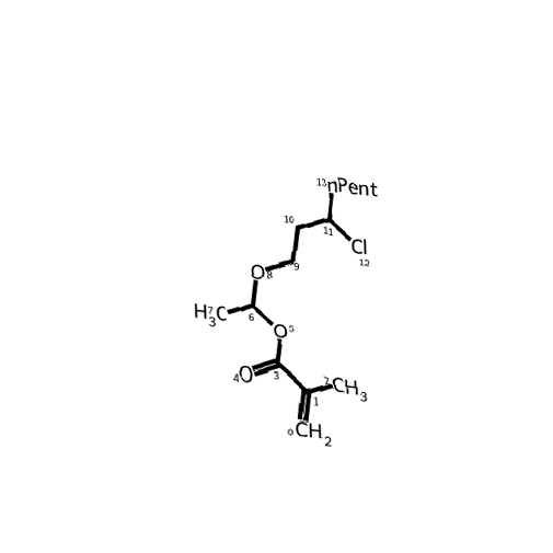 C=C(C)C(=O)OC(C)OCCC(Cl)CCCCC